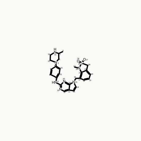 CC1CN(c2ccc(Nc3ncc4ccn(Cc5cccc6c5N(C)S(=O)(=O)C6)c4n3)cc2)CCN1